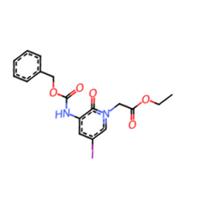 CCOC(=O)Cn1cc(I)cc(NC(=O)OCc2ccccc2)c1=O